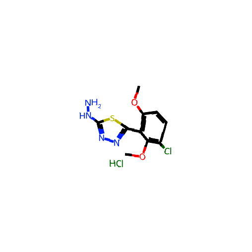 COc1ccc(Cl)c(OC)c1-c1nnc(NN)s1.Cl